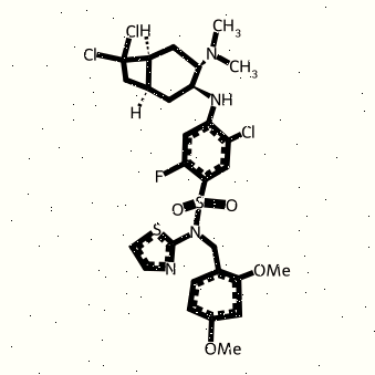 COc1ccc(CN(c2nccs2)S(=O)(=O)c2cc(Cl)c(N[C@H]3C[C@H]4CC(Cl)(Cl)[C@H]4C[C@@H]3N(C)C)cc2F)c(OC)c1